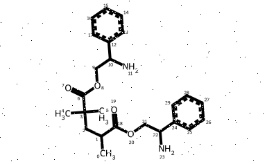 CC(CC(C)(C)C(=O)OCC(N)c1ccccc1)C(=O)OCC(N)c1ccccc1